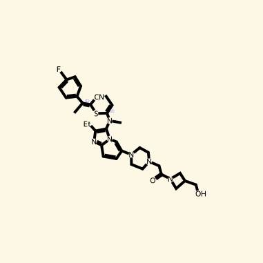 C/C=C(\S/C(C#N)=C(\C)c1ccc(F)cc1)N(C)c1c(CC)nc2ccc(N3CCN(CC(=O)N4CC(CO)C4)CC3)cn12